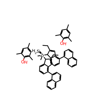 CCC1=Cc2c(-c3cccc4ccccc34)cccc2[CH]1[Zr]([CH3])([CH3])(=[SiH2])[CH]1C(CC)=Cc2c(-c3cccc4ccccc34)cccc21.Cc1cc(C)c(O)c(C)c1.Cc1cc(C)c(O)c(C)c1